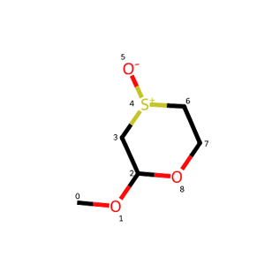 COC1C[S+]([O-])CCO1